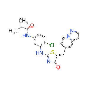 CC(C)C(=O)Nc1ccc(Cl)c(NC2=NC(=O)/C(=C/c3ccn4nccc4c3)S2)c1